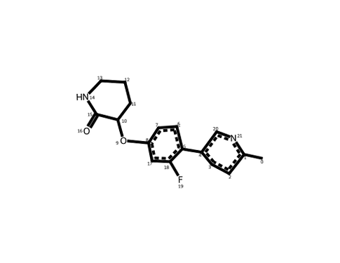 Cc1ccc(-c2[c]cc(OC3CCCNC3=O)cc2F)cn1